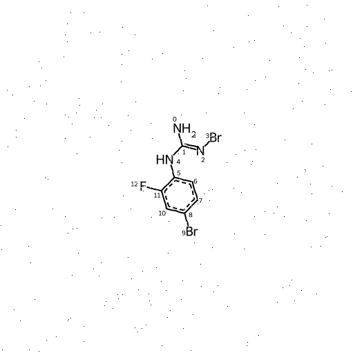 NC(=NBr)Nc1ccc(Br)cc1F